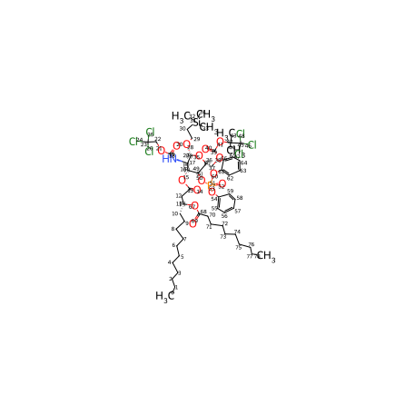 CCCCCCCCCCC[C@H](CC(=O)O[C@@H]1[C@@H](NC(=O)OCC(Cl)(Cl)Cl)[C@H](OCC[Si](C)(C)C)O[C@H](COC(=O)OC(C)(C)C(Cl)(Cl)Cl)[C@H]1OP(=O)(Oc1ccccc1)Oc1ccccc1)OC(=O)CCCCCCCCC